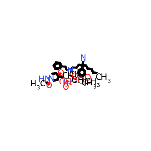 CCCCCCC(C#N)(CCCN(C)CCc1ccccc1OC1(C(C)O[N+](=O)[O-])CCN(NC(C)=O)CC1)c1cc(OC)c(OC)c(OC)c1